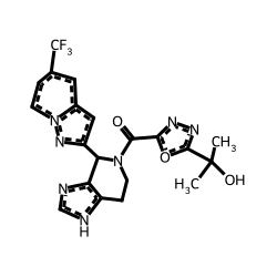 CC(C)(O)c1nnc(C(=O)N2CCc3[nH]cnc3C2c2cc3cc(C(F)(F)F)ccn3n2)o1